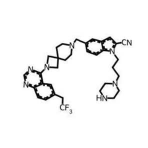 N#Cc1cc2cc(CN3CCC4(CC3)CN(c3ncnc5ccc(CC(F)(F)F)cc35)C4)ccc2n1CCCN1CCNCC1